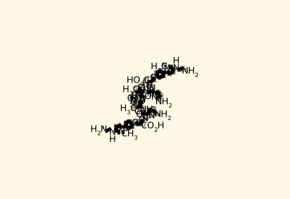 C[n+]1cc(NCCN)ccc1-c1ccc(OC[C@H](O/N=C(\C(=O)N[C@@H]2C(=O)N(OS(=O)(=O)ON3C(=O)[C@@H](NC(=O)/C(=N\O[C@@H](COc4ccc(-c5ccc(NCCN)c[n+]5C)cc4)C(=O)O)c4csc(N)n4)C3(C)C)C2(C)C)c2csc(N)n2)C(=O)O)cc1